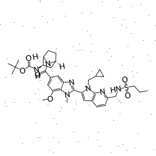 CCCS(=O)(=O)N[C@H](C)c1ccc2cc(-c3nc4cc(C(=O)N5[C@H]6CC[C@@H]5[C@H](NC(=O)OC(C)(C)C)C6)cc(OC)c4n3C)n(CC3CC3)c2n1